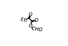 CCC(=O)C(=O)OC=O